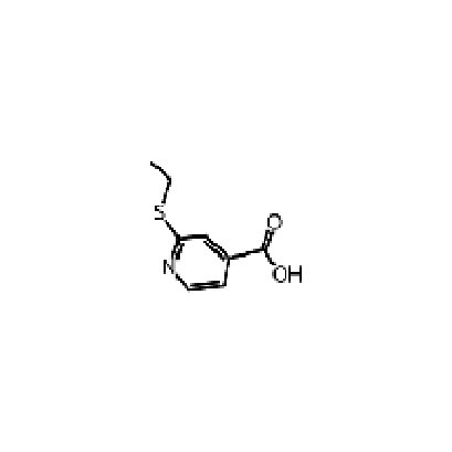 CCSc1cc(C(=O)O)ccn1